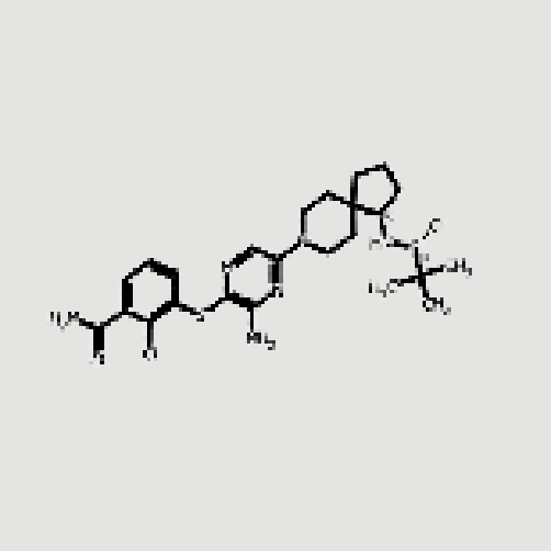 CC(C)(C)[S@@+]([O-])N[C@@H]1CCCC12CCN(c1cnc(Sc3cccc(C(N)=O)c3Cl)c(N)n1)CC2